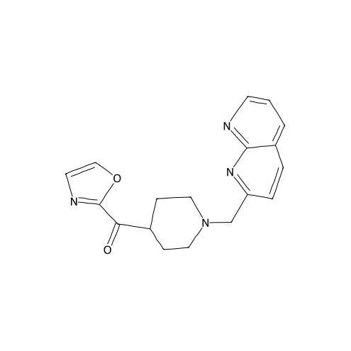 O=C(c1ncco1)C1CCN(Cc2ccc3cccnc3n2)CC1